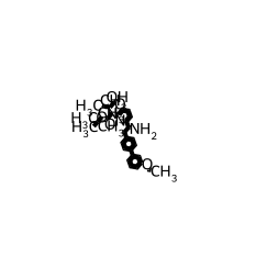 CCOc1cccc(-c2ccc(CC(N)c3cccc(N(C(=O)OC(C)(C)C)C(C(=O)O)C(C)(C)C)n3)cc2)c1